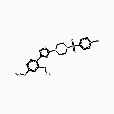 COc1ccc(-c2csc(N3CCN(S(=O)(=O)c4ccc(Br)cc4)CC3)n2)c(OC)c1